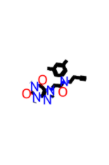 C#CCCN(C(=O)Cn1cnc2c1c(=O)n(C)c(=O)n2C)c1cc(C)cc(C)c1